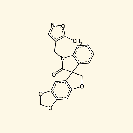 Cc1oncc1CN1C(=O)C2(COc3cc4c(cc32)OCO4)c2ccccc21